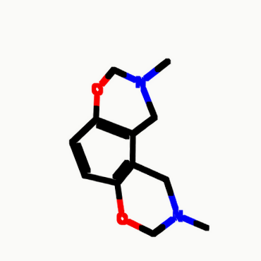 CN1COc2ccc3c(c2C1)CN(C)CO3